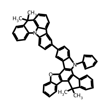 CC1(C)c2ccccc2-c2c1c1c3ccccc3oc1c1c3cc(-c4ccc5c(c4)c4cccc6c4n5-c4ccccc4C6(C)C)ccc3n(-c3ccccc3)c21